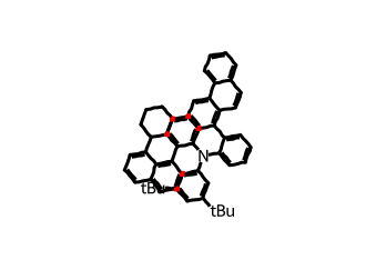 CC(C)(C)c1cc(N(c2ccccc2-c2cccc3c2ccc2ccccc23)c2ccccc2-c2cccc3cccc(C4CCCCC4)c23)cc(C(C)(C)C)c1